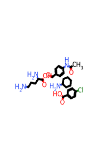 CC(=O)Nc1ccc(C=O)cc1.NC1CCCCC1.NCCCC(N)C(=O)O.O=C(O)c1ccc(Cl)cc1